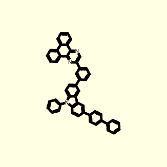 c1ccc(-c2ccc(-c3ccc4c(c3)c3cc(-c5cccc(-c6cnc7c8ccccc8c8ccccc8c7n6)c5)ccc3n4-c3ccccc3)cc2)cc1